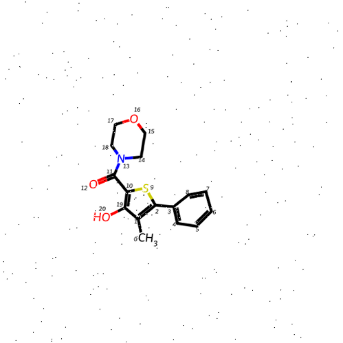 Cc1c(-c2ccccc2)sc(C(=O)N2CCOCC2)c1O